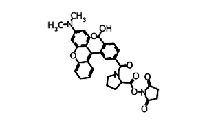 CN(C)c1ccc2c(c1)OC1=CCC=CC1=C2c1cc(C(=O)N2CCCC2C(=O)ON2C(=O)CCC2=O)ccc1C(=O)O